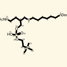 CCCCCCCCCCCCCCCCSCC(CCNC(C)=O)COP(=O)(O)OCC[N+](C)(C)C